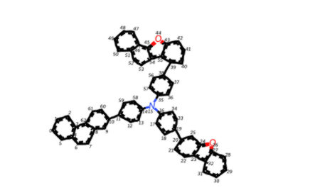 c1ccc2c(c1)ccc1cc(-c3ccc(N(c4ccc(-c5ccc6c(c5)oc5ccccc56)cc4)c4ccc(-c5cccc6oc7c8ccccc8ccc7c56)cc4)cc3)ccc12